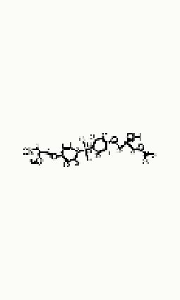 COC(CCl)COc1ccc(C(C)(C)c2ccc(OCC(O)COC(C)C)cc2)cc1